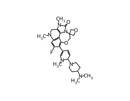 CN1Cc2c3n(c(=O)n2C)C2(COC2)COc2c(C4=CN(C)C(N5CCC(N(C)C)CC5)C=C4)c(F)cc1c2-3